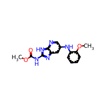 COC(=O)Nc1nc2cc(Nc3ccccc3OC)cnc2[nH]1